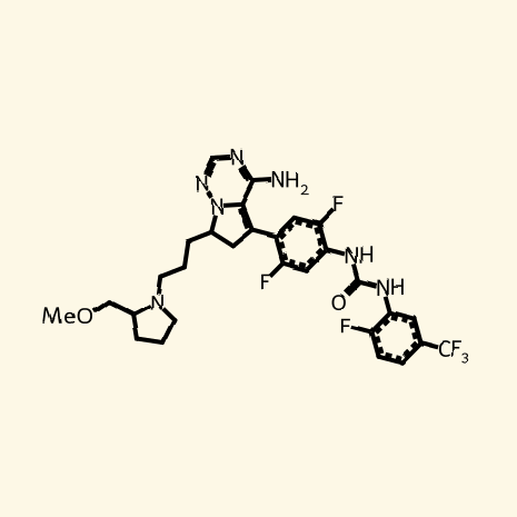 COCC1CCCN1CCCC1CC(c2cc(F)c(NC(=O)Nc3cc(C(F)(F)F)ccc3F)cc2F)=C2C(N)=NC=NN21